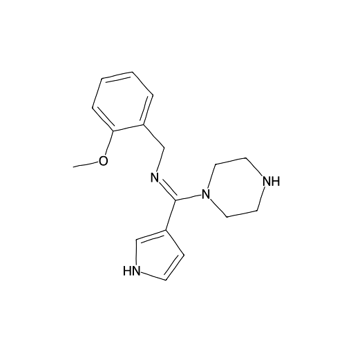 COc1ccccc1CN=C(c1cc[nH]c1)N1CCNCC1